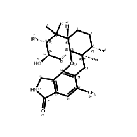 C[C@H]1CC[C@H]2C(C)(C)[C@@H](Br)[C@H](O)C[C@]23Oc2c4c(cc(C(F)(F)F)c2C[C@]13C)C(=O)NC4